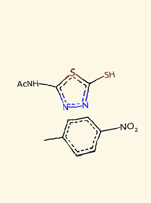 CC(=O)Nc1nnc(S)s1.Cc1ccc([N+](=O)[O-])cc1